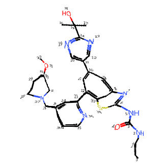 CCNC(=O)Nc1nc2cc(-c3cnc(C(C)(C)O)nc3)cc(-c3cc(CN4CC[C@@H](OC)C4)ccn3)c2s1